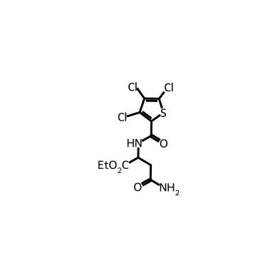 CCOC(=O)C(CC(N)=O)NC(=O)c1sc(Cl)c(Cl)c1Cl